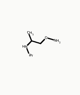 CC(C)NC(C)CON